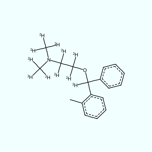 [2H]C(OC([2H])([2H])C([2H])([2H])N(C([2H])([2H])[2H])C([2H])([2H])[2H])(c1ccccc1)c1ccccc1C